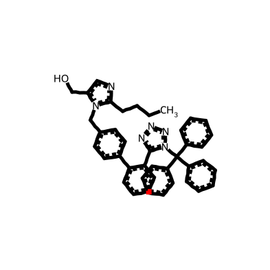 CCCCc1ncc(CO)n1Cc1ccc(-c2ccccc2-c2nnnn2C(c2ccccc2)(c2ccccc2)c2ccccc2)cc1